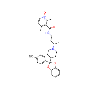 Cc1cc[n+]([O-])c(C)c1C(=O)NCCC(C)N1CCC(C2(c3ccc(C#N)cc3)Oc3ccccc3O2)CC1